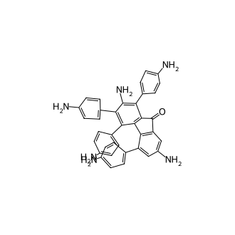 Nc1ccc(-c2cc(N)cc3c2-c2c(c(-c4ccc(N)cc4)c(N)c(-c4ccc(N)cc4)c2-c2ccc(N)cc2)C3=O)cc1